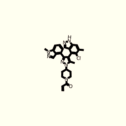 C=CC(=O)N1CCC(n2nc(-c3cccc4c3cnn4C)c(-c3c(Cl)c(C)cc4[nH]ncc34)c2C)CC1